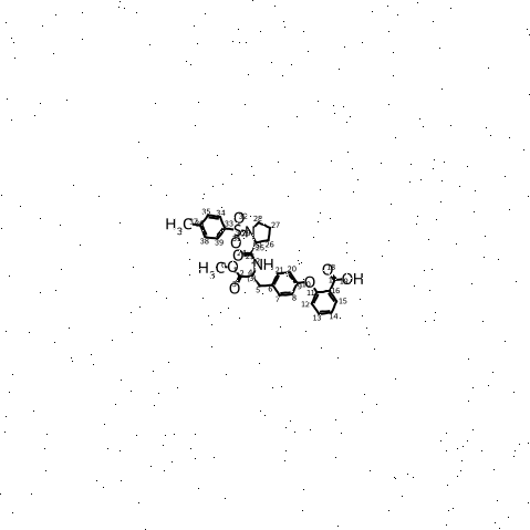 COC(=O)[C@H](Cc1ccc(Oc2ccccc2C(=O)O)cc1)NC(=O)[C@@H]1CCCN1S(=O)(=O)c1ccc(C)cc1